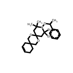 CCC1(CC)CC2(CC(C)(C)N1OC(C)c1ccccc1)OCC1(CC=CCC1)CO2